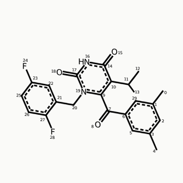 Cc1cc(C)cc(C(=O)c2c(C(C)C)c(=O)[nH]c(=O)n2Cc2cc(F)ccc2F)c1